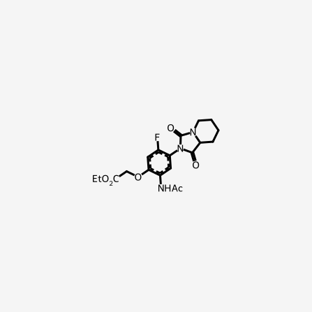 CCOC(=O)COc1cc(F)c(N2C(=O)C3CCCCN3C2=O)cc1NC(C)=O